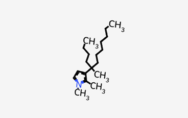 CCCCCCCC(C)(CCCC)c1ccn(C)c1C